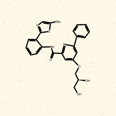 CC(C)(C)c1cnc(-c2ccccc2NC(=O)c2cc(OC[C@@H](O)CO)cc(-c3ccccc3)n2)s1